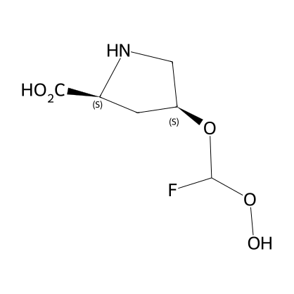 O=C(O)[C@@H]1C[C@H](OC(F)OO)CN1